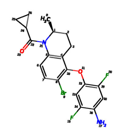 C[C@H]1CCc2c(ccc(Br)c2Oc2cc(F)c(N)cc2F)N1C(=O)C1CC1